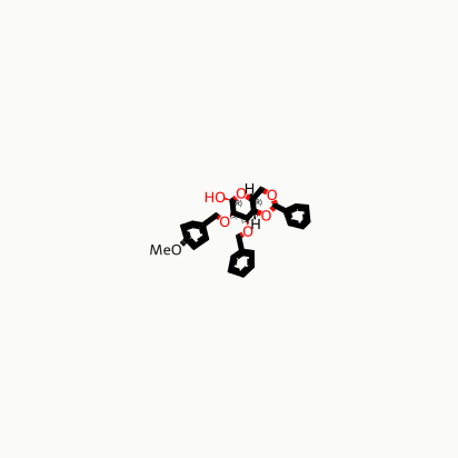 COc1ccc(CO[C@H]2[C@@H](OCc3ccccc3)[C@@H]3OC(c4ccccc4)OC[C@H]3O[C@H]2O)cc1